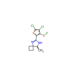 C=C1NC(c2sc(Cl)c(Cl)c2SF)=NC12CCC2